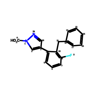 O=C(O)n1cc(-c2cccc(F)c2Cc2ccccc2)cn1